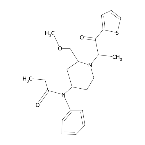 CCC(=O)N(c1ccccc1)C1CCN(C(C)C(=O)c2cccs2)C(COC)C1